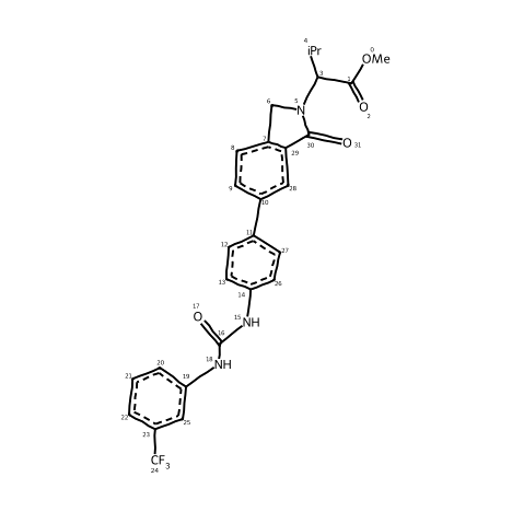 COC(=O)C(C(C)C)N1Cc2ccc(-c3ccc(NC(=O)Nc4cccc(C(F)(F)F)c4)cc3)cc2C1=O